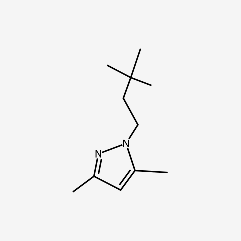 Cc1cc(C)n(CCC(C)(C)C)n1